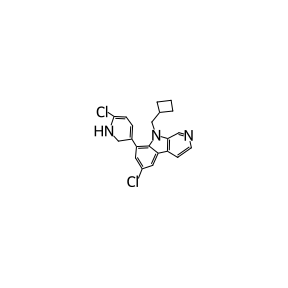 ClC1=CC=C(c2cc(Cl)cc3c4ccncc4n(CC4CCC4)c23)CN1